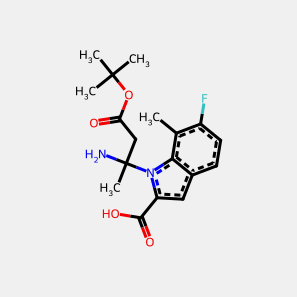 Cc1c(F)ccc2cc(C(=O)O)n(C(C)(N)CC(=O)OC(C)(C)C)c12